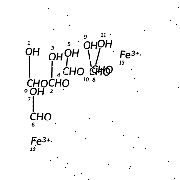 O=[C-]O.O=[C-]O.O=[C-]O.O=[C-]O.O=[C-]O.O=[C-]O.[Fe+3].[Fe+3]